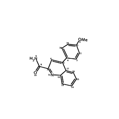 COc1ccc(-c2cc(C(N)=O)nc3ccccc23)cc1